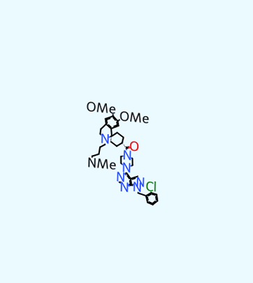 CNCCCCN1CCc2cc(OC)c(OC)cc2[C@]12CC[C@@H](C(=O)N1CCN(c3ncnc4c3cnn4Cc3ccccc3Cl)CC1)CC2